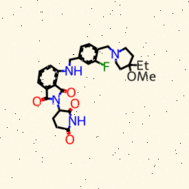 CCC1(OC)CCN(Cc2ccc(CNc3cccc4c3C(=O)N(C3CCC(=O)NC3=O)C4=O)cc2F)CC1